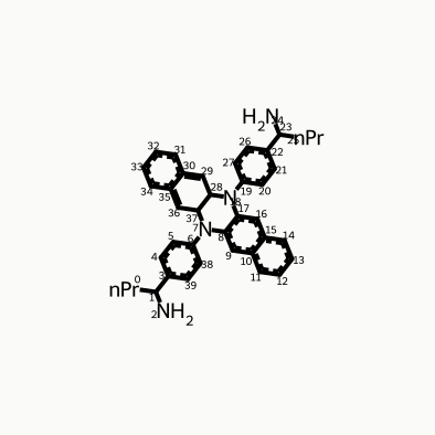 CCCC(N)c1ccc(N2c3cc4ccccc4cc3N(c3ccc(C(N)CCC)cc3)C3C=c4ccccc4=CC32)cc1